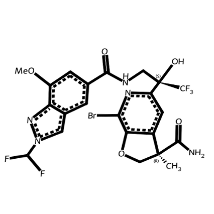 COc1cc(C(=O)NC[C@](O)(c2cc3c(c(Br)n2)OC[C@]3(C)C(N)=O)C(F)(F)F)cc2cn(C(F)F)nc12